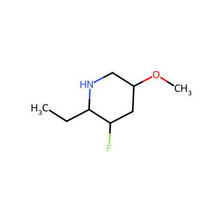 CCC1NCC(OC)CC1F